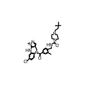 Cc1cc(C(=O)N2Cc3cnn(C)c3Nc3cc(Cl)ccc32)ccc1CNC(=O)N1CCN(CCC(C)(C)C)CC1